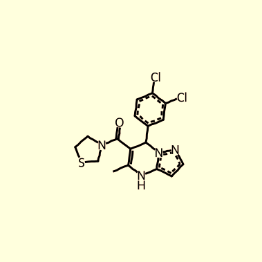 CC1=C(C(=O)N2CCSC2)C(c2ccc(Cl)c(Cl)c2)n2nccc2N1